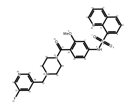 COc1cc(NS(=O)(=O)c2cccc3cccnc23)ccc1C(=O)N1CCN(Cc2cncc(F)c2)CC1